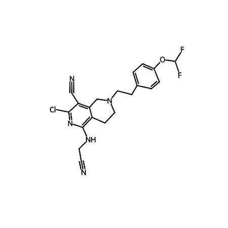 N#CCNc1nc(Cl)c(C#N)c2c1CCN(CCc1ccc(OC(F)F)cc1)C2